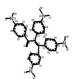 C=C(C(=C(c1ccc(N(C)C)cc1)c1ccc(N(C)C)cc1)c1ccc(N(C)C)cc1)c1ccc(N(C)C)cc1